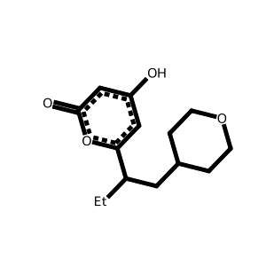 CCC(CC1CCOCC1)c1cc(O)cc(=O)o1